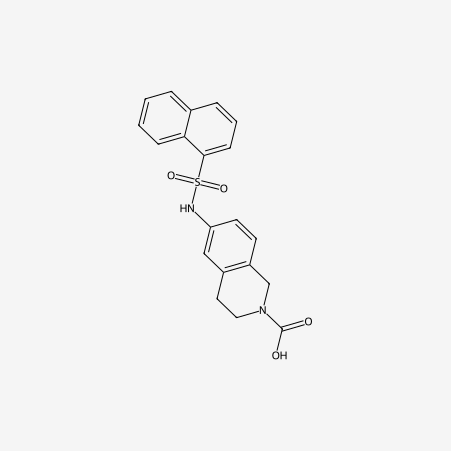 O=C(O)N1CCc2cc(NS(=O)(=O)c3cccc4ccccc34)ccc2C1